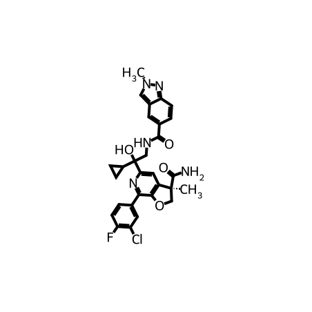 Cn1cc2cc(C(=O)NCC(O)(c3cc4c(c(-c5ccc(F)c(Cl)c5)n3)OC[C@]4(C)C(N)=O)C3CC3)ccc2n1